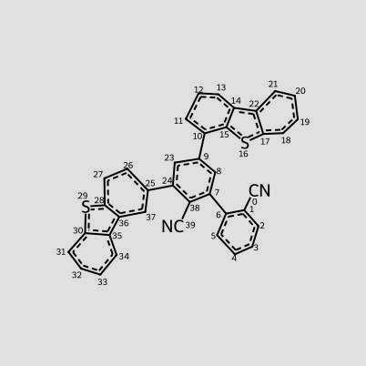 N#Cc1ccccc1-c1cc(-c2cccc3c2sc2ccccc23)cc(-c2ccc3sc4ccccc4c3c2)c1C#N